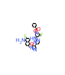 Cc1ccc2c(N)c(F)ccc2c1Oc1ncncc1-c1ccnc(N[C@H]2C[C@H](F)CN(OC(=O)c3ccccc3)C2)n1